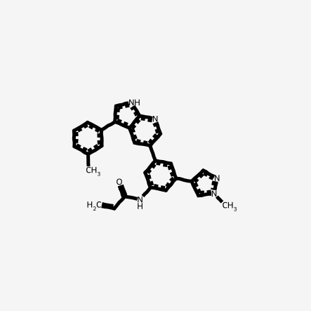 C=CC(=O)Nc1cc(-c2cnc3[nH]cc(-c4cccc(C)c4)c3c2)cc(-c2cnn(C)c2)c1